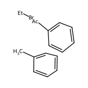 CC(=O)c1ccccc1.CCBr.Cc1ccccc1